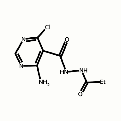 CCC(=O)NNC(=O)c1c(N)ncnc1Cl